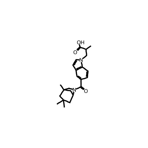 CC(Cn1ccc2cc(C(=O)N3CC4(C)CC3CC(C)(C)C4)ccc21)C(=O)O